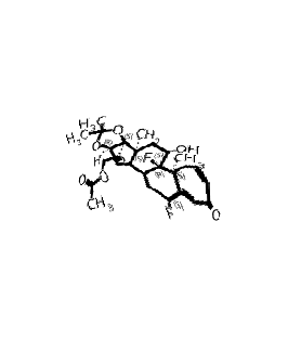 CC(=O)OCC(=O)[C@@]12OC(C)(C)O[C@@H]1CC1C3C[C@H](F)C4=CC(=O)C=C[C@]4(C)[C@@]3(F)[C@@H](O)C[C@@]12C